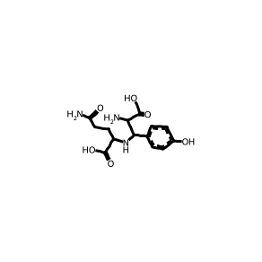 NC(=O)CCC(NC(c1ccc(O)cc1)C(N)C(=O)O)C(=O)O